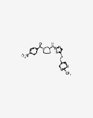 O=C(c1ccc([N+](=O)[O-])cc1)N1CCCC(Nn2ncc(SCc3cnc(C(F)(F)F)nc3)n2)C1